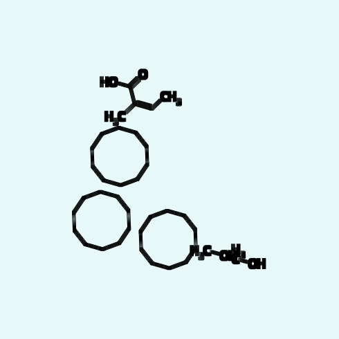 C1CCCCCCCCC1.C1CCCCCCCCC1.C1CCCCCCCCC1.CC=C(C)C(=O)O.CO.CO